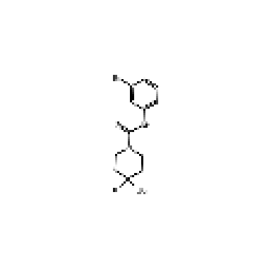 CC(C)(C)C1(O)CCN(C(=O)Nc2cccc(Br)c2)CC1